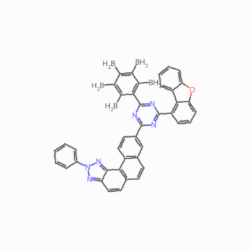 Bc1c(B)c(B)c(-c2nc(-c3ccc4c(ccc5ccc6nn(-c7ccccc7)nc6c54)c3)nc(-c3cccc4oc5ccccc5c34)n2)c(B)c1B